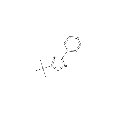 Cc1[nH]c(-c2cc[c]cc2)nc1C(C)(C)C